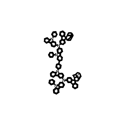 c1ccc(-n2c3ccccc3c3ccc(N(c4ccc5c(c4)-c4ccccc4C54C5CC6CC7CC4C7(C6)C5)c4ccc5c(c4)c4ccccc4n5-c4ccc(-c5ccc6c7ccc(N(c8ccc9c(c8)-c8ccccc8C98C9CC%10CC(C9)CC8C%10)c8ccc9c%10ccccc%10n(-c%10ccccc%10)c9c8)cc7n(-c7ccccc7)c6c5)cc4)cc32)cc1